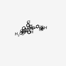 CS(=O)(=O)N[C@H]1CCCC[C@@H]1N1C(=O)c2ccccc2[C@@H](C(=O)NOCc2cccc(-c3nn[nH]n3)c2)[C@@H]1c1ccc(Cl)cc1Cl